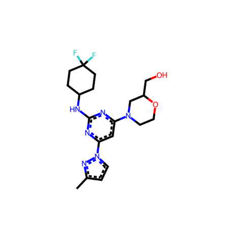 Cc1ccn(-c2cc(N3CCOC(CO)C3)nc(NC3CCC(F)(F)CC3)n2)n1